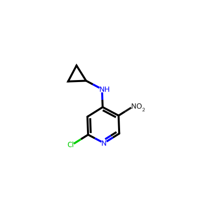 O=[N+]([O-])c1cnc(Cl)cc1NC1CC1